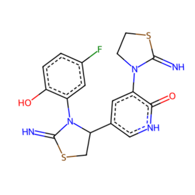 N=C1SCCN1c1cc(C2CSC(=N)N2c2cc(F)ccc2O)c[nH]c1=O